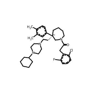 Cc1ccc([C@@]2(CCN3CCN(C4CCCCC4)CC3)CCCCN(C(=O)Cc3c(F)cccc3Cl)C2)cc1C